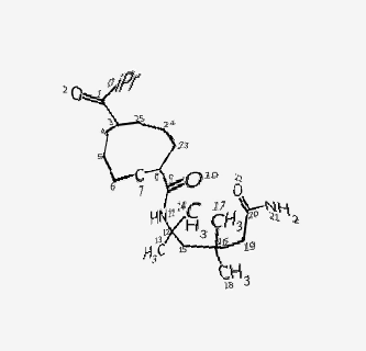 CC(C)C(=O)C1CCCCC(C(=O)NC(C)(C)CC(C)(C)CC(N)=O)CCC1